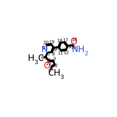 Cc1ccc(C(C)c2cc(-c3ccc(C(N)=O)cc3)ccn2)o1